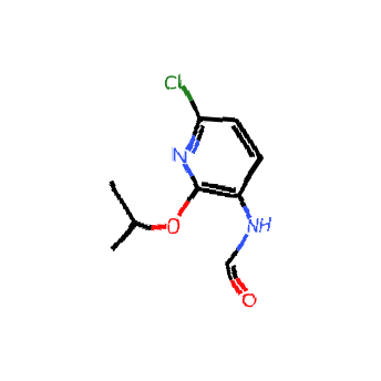 CC(C)Oc1nc(Cl)ccc1NC=O